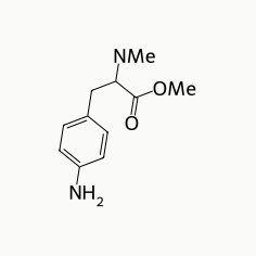 CNC(Cc1ccc(N)cc1)C(=O)OC